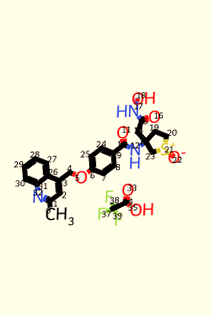 Cc1cc(COc2ccc(C(=O)NC3(CC(=O)NO)CC[S+]([O-])C3)cc2)c2ccccc2n1.O=C(O)C(F)(F)F